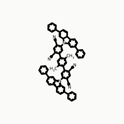 Cc1cc(-c2cc(-n3c4cc(-c5ccccc5)ccc4c4ccc(-c5ccccc5)cc43)c(C#N)cc2C#N)c(C)cc1-c1cc(N2c3cc(-c4ccccc4)ccc3C3C=CC(c4ccccc4)=CC32)c(C#N)cc1C#N